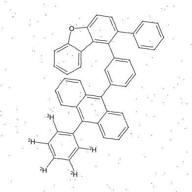 [2H]c1c([2H])c([2H])c(-c2c3ccccc3c(-c3cccc(-c4c(-c5ccccc5)ccc5oc6ccccc6c45)c3)c3ccccc23)c([2H])c1[2H]